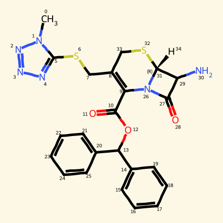 Cn1nnnc1SCC1=C(C(=O)OC(c2ccccc2)c2ccccc2)N2C(=O)C(N)[C@H]2SC1